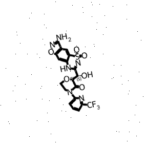 Nc1noc2cc3c(cc12)S(=O)(=O)N=C([C@H](O)[C@H]1OCCN(c2cccc(C(F)(F)F)n2)C1=O)N3